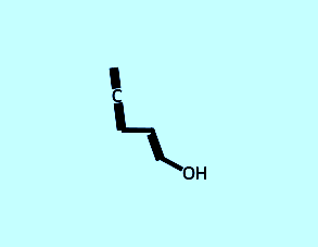 C=C=C/C=C/O